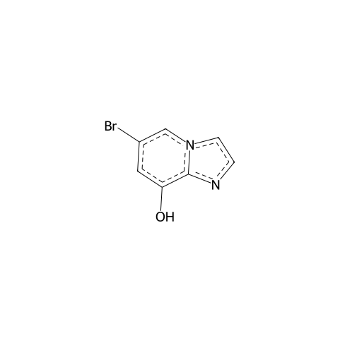 Oc1cc(Br)cn2ccnc12